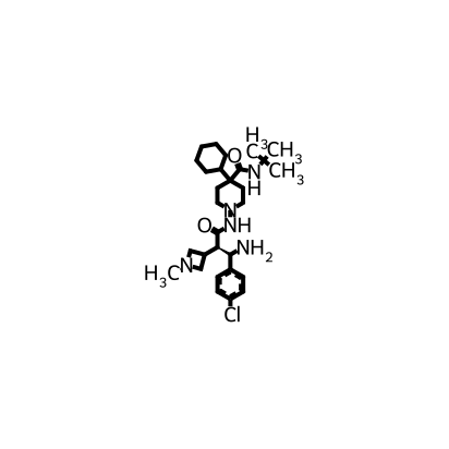 CN1CC([C@@H](C(=O)NN2CCC(C(=O)NC(C)(C)C)(C3CCCCC3)CC2)C(N)c2ccc(Cl)cc2)C1